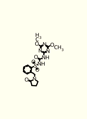 COc1nc(NC(=O)NS(=O)(=O)c2ccccc2CN2CCCC2=O)nc(OC)n1